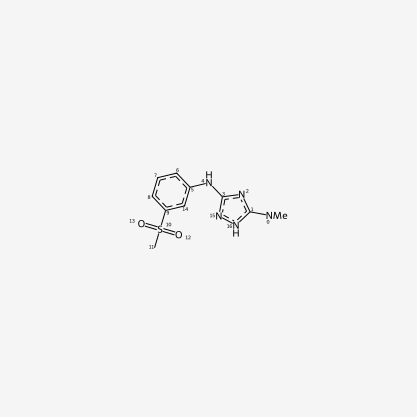 CNc1nc(Nc2cccc(S(C)(=O)=O)c2)n[nH]1